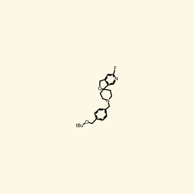 CC(C)(C)OCc1ccc(CN2CCC3(CC2)OCc2cc(F)ncc23)cc1